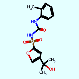 Cc1ccccc1NC(=O)NS(=O)(=O)c1cc(C(C)(C)O)co1